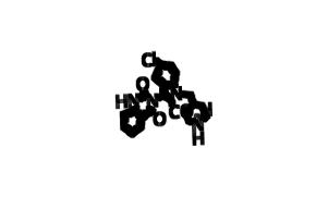 O=C(O)c1c(-n2c(=O)[nH]c3ccccc3c2=O)c2cc(Cl)ccc2n1CC1CCNCC1